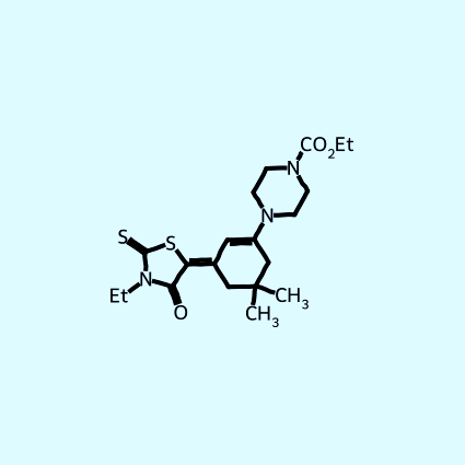 CCOC(=O)N1CCN(C2=C/C(=C3\SC(=S)N(CC)C3=O)CC(C)(C)C2)CC1